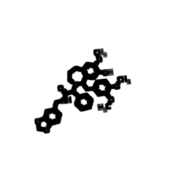 COc1cc2c(cc1O)C(Cc1ccc(OC)c(OC)c1)N(C(C(=O)NCc1ccc3c(c1)OCO3)c1ccccc1)CCC2